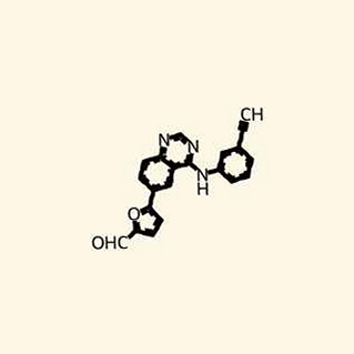 C#Cc1cccc(Nc2ncnc3ccc(-c4ccc(C=O)o4)cc23)c1